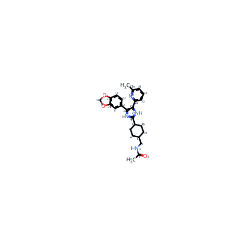 CC(=O)NCC1CCC(c2nc(-c3ccc4c(c3)OCO4)c(-c3cccc(C)n3)[nH]2)CC1